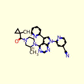 C[C@H]1CN(C(=O)C2(C)CC2)CCN1c1ncnc2c1c(-c1ccccn1)cn2-c1cc(C#N)ccn1